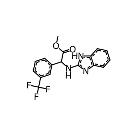 COC(=O)C(Nc1nc2ccccc2[nH]1)c1cccc(C(F)(F)F)c1